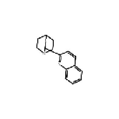 c1ccc2nc(C3CC4CCN3CC4)ccc2c1